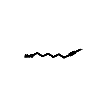 [CH2]C#CCCCCCCOC